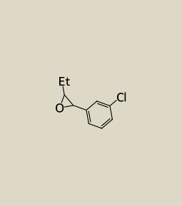 CCC1OC1c1cccc(Cl)c1